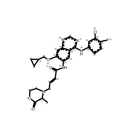 CC1C(=O)OCCN1C/C=C/C(=O)Nc1cc2c(Nc3ccc(F)c(Cl)c3)ncnc2cc1OCC1CC1